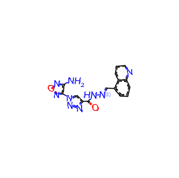 Nc1nonc1-n1cc(C(=O)N/N=C/c2cccc3ncccc23)nn1